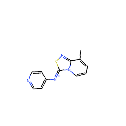 Cc1cccn2/c(=N/c3ccncc3)snc12